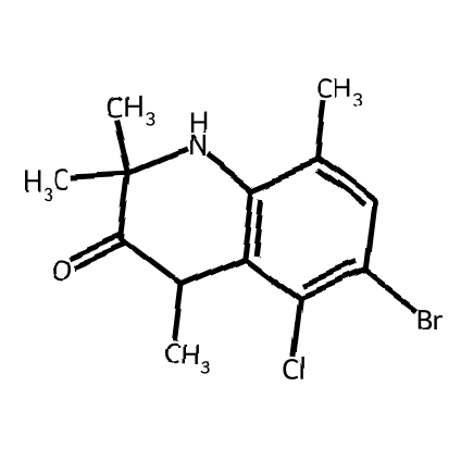 Cc1cc(Br)c(Cl)c2c1NC(C)(C)C(=O)C2C